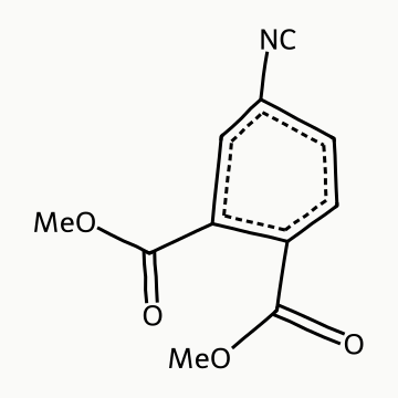 [C-]#[N+]c1ccc(C(=O)OC)c(C(=O)OC)c1